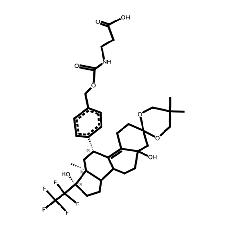 CC1(C)COC2(CCC3=C4C(CCC3(O)C2)C2CC[C@@](O)(C(F)(F)C(F)(F)F)[C@@]2(C)C[C@@H]4c2ccc(COC(=O)NCCC(=O)O)cc2)OC1